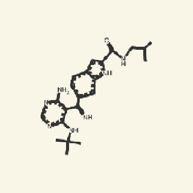 CC(C)CNC(=O)c1cc2ccc(C(=N)c3c(N)ncnc3NC(C)(C)C)cc2[nH]1